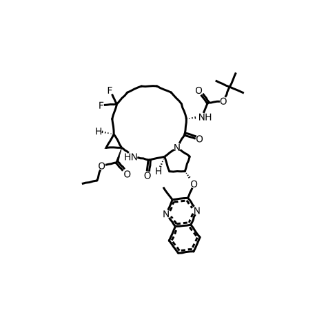 CCOC(=O)[C@@]12C[C@H]1CC(F)(F)CCCCC[C@H](NC(=O)OC(C)(C)C)C(=O)N1C[C@H](Oc3nc4ccccc4nc3C)C[C@H]1C(=O)N2